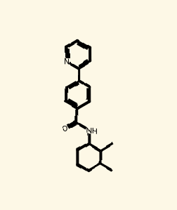 CC1CCCC(NC(=O)c2ccc(-c3ccccn3)cc2)C1C